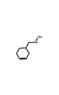 CCCCNCC1CC=CCC1